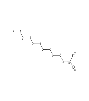 CCCCCCCCCCCC([O])Cl